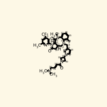 Cc1cc(C(F)(F)F)cc(N2C(=O)C[C@@H]3CN(Cc4ccn(C5CN(C(=O)/C=C/CN(C)C)C5)n4)c4c(F)cccc4N(C)C(=O)[C@H]32)n1